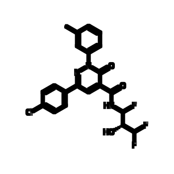 Cc1cccc(-n2nc(-c3ccc(Cl)cc3)cc(C(=O)NC(F)[C@@H](O)C(F)F)c2=O)c1